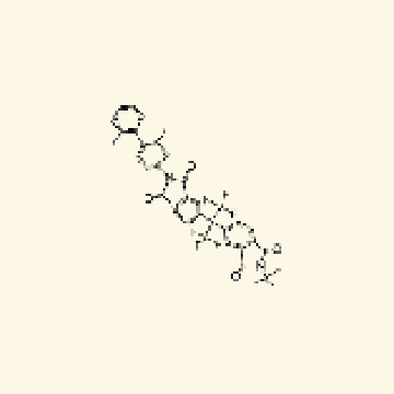 Cc1ccccc1-c1ccc(N2C(=O)c3ccc(C(c4ccc5c(c4)C(=O)N(C(C)(C)C)C5=O)(C(F)(F)F)C(F)(F)F)cc3C2=O)cc1C